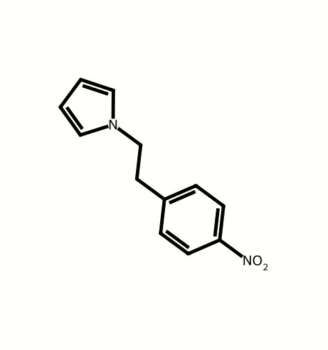 O=[N+]([O-])c1ccc(CCn2cccc2)cc1